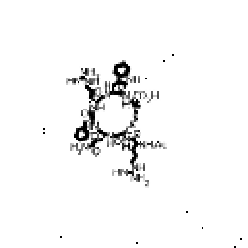 CC(=O)N[C@H](CCCNC(=N)N)C(=O)N[C@H]1CCSSC(C)(C)[C@@H](C(=O)O)NC(=O)[C@H](Cc2c[nH]c3ccccc23)NC(=O)[C@H](CCCNC(=N)N)NC(=O)[C@@H](Cc2ccccc2)NC(=O)[C@H](CCC(N)=O)NC1=O